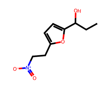 CCC(O)c1ccc(CC[N+](=O)[O-])o1